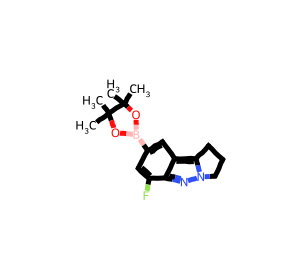 CC1(C)OB(c2cc(F)c3nn4c(c3c2)CCC4)OC1(C)C